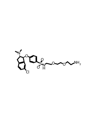 CN(C)[C@H]1Cc2ccc(Cl)cc2[C@@H]1Oc1ccc(S(=O)(=O)NCCOCCOCCN)cc1